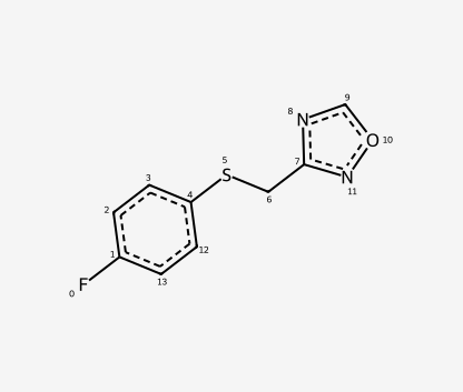 Fc1ccc(SCc2ncon2)cc1